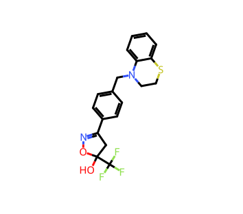 OC1(C(F)(F)F)CC(c2ccc(CN3CCSc4ccccc43)cc2)=NO1